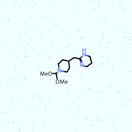 COC(OC)N1CCC(CC2=NCCCN2)CC1